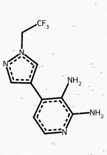 Nc1nccc(-c2cnn(CC(F)(F)F)c2)c1N